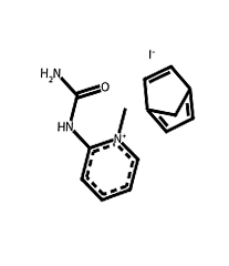 C1=CC2=CC=C1C2.C[n+]1ccccc1NC(N)=O.[I-]